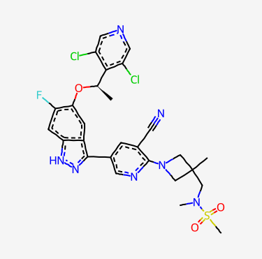 C[C@@H](Oc1cc2c(-c3cnc(N4CC(C)(CN(C)S(C)(=O)=O)C4)c(C#N)c3)n[nH]c2cc1F)c1c(Cl)cncc1Cl